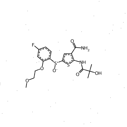 COCCOc1cc(F)ccc1[S+]([O-])c1cc(C(N)=O)c(NC(=O)C(C)(C)O)s1